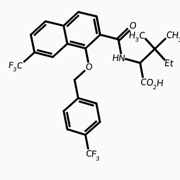 CCC(C)(C)C(NC(=O)c1ccc2ccc(C(F)(F)F)cc2c1OCc1ccc(C(F)(F)F)cc1)C(=O)O